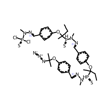 CCC(C)(Oc1ccc(/C=N/N(C)[PH](=S)C(C)(CC)Oc2ccc(/C=N/N(C)P(=S)(Cl)Cl)cc2)cc1)[PH](=S)N(C)/N=C/c1ccc(OC(C)(C)N=[N+]=[N-])cc1